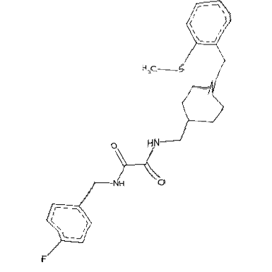 CSc1ccccc1CN1CCC(CNC(=O)C(=O)NCc2ccc(F)cc2)CC1